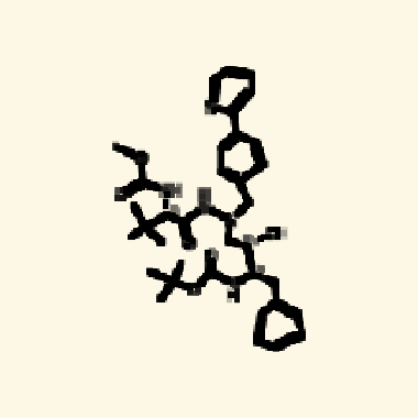 COC(=O)N[C@H](C(=O)NN(Cc1ccc(-c2ccccn2)cc1)C[C@H](O)[C@@H](Cc1ccccc1)NC(=O)OC(C)(C)C)C(C)(C)C